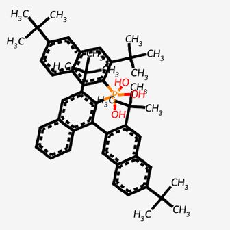 CC(C)(C)c1ccc2cc(-c3c(P(O)(O)(O)c4cc5ccc(C(C)(C)C)cc5cc4C(C)(C)C)c(C(C)(C)C)cc4ccccc34)c(C(C)(C)C)cc2c1